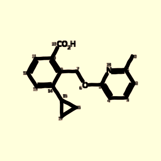 Cc1cccc(OCc2c(C(=O)O)cccc2C2CC2)n1